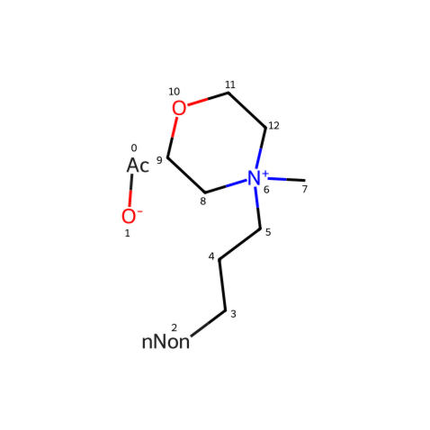 CC(=O)[O-].CCCCCCCCCCCC[N+]1(C)CCOCC1